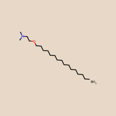 B.CCCCCCCCCCCCCCCCOCCN(C)C